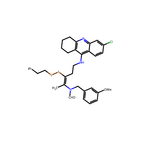 COc1cccc(CN(C=O)C(C)=C(CCNc2c3c(nc4cc(Cl)ccc24)CCCC3)SSCCC(C)C)c1